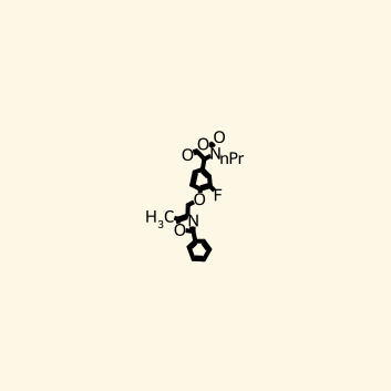 CCCN1C(=O)OC(=O)C1c1ccc(OCc2nc(-c3ccccc3)oc2C)c(F)c1